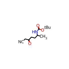 CC(CCC(=O)CC#N)NC(=O)OC(C)(C)C